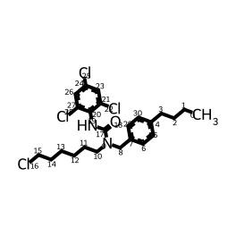 CCCCc1ccc(CN(CCCCCCCl)C(=O)Nc2c(Cl)cc(Cl)cc2Cl)cc1